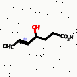 O=C/C=C/C(O)CCC(=O)O